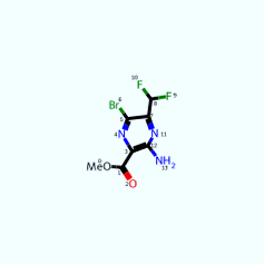 COC(=O)c1nc(Br)c(C(F)F)nc1N